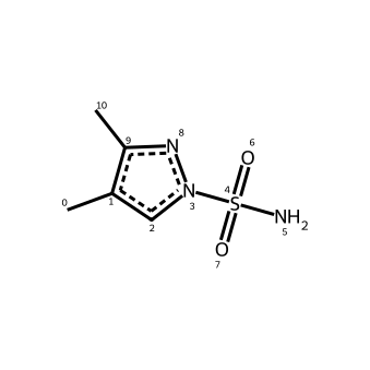 Cc1cn(S(N)(=O)=O)nc1C